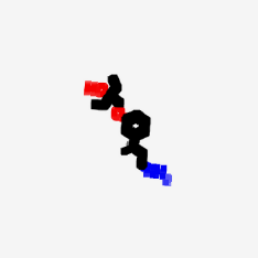 CCC(O)(CC)COc1cccc([C@H](C)CCN)c1